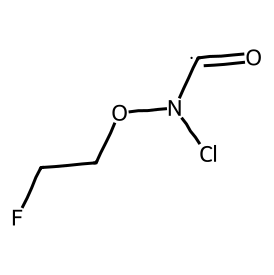 O=[C]N(Cl)OCCF